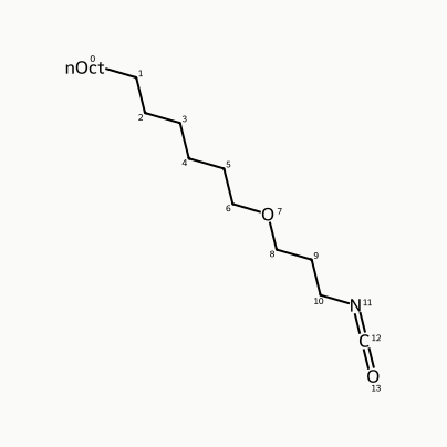 CCCCCCCCCCCCCCOCCCN=C=O